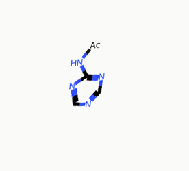 CC(=O)Nc1ncncn1